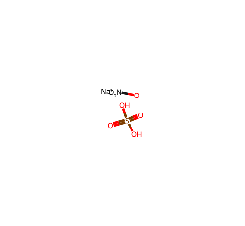 O=S(=O)(O)O.O=[N+]([O-])[O-].[Na+]